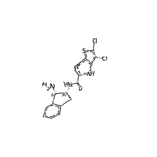 N[C@H]1c2ccccc2C[C@H]1NC(=O)c1cc2sc(Cl)c(Cl)c2[nH]1